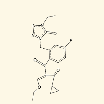 CCOC=C(C(=O)c1ccc(F)cc1Cn1nnn(CC)c1=O)C(=O)C1CC1